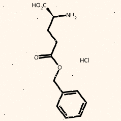 Cl.N[C@@H](CCC(=O)OCc1ccccc1)C(=O)O